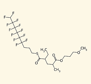 CCC(CC(C)C(=O)OCCCOC)C(=O)SCCCC(F)(F)C(F)(F)C(F)(F)C(F)(F)C(F)(F)C(F)F